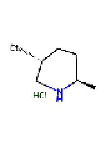 CC[C@@H]1CC[C@@H](C)NC1.Cl